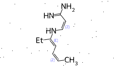 C/C=C\C=C(/CC)N/C=C\C(=N)N